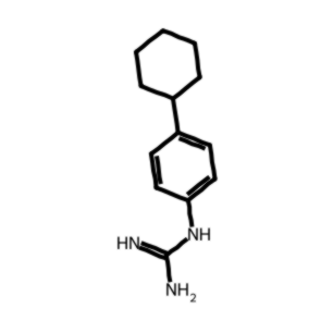 N=C(N)Nc1ccc(C2CCCCC2)cc1